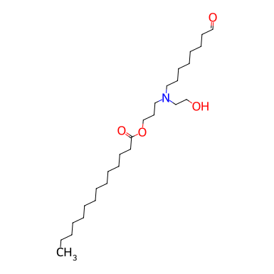 CCCCCCCCCCCCCC(=O)OCCCN(CCO)CCCCCCCC=O